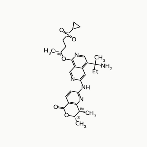 CCC(C)(N)c1cnc(O[C@H](C)CCS(=O)(=O)C2CC2)c2cnc(Nc3ccc4c(n3)[C@@H](C)[C@H](C)OC4=O)cc12